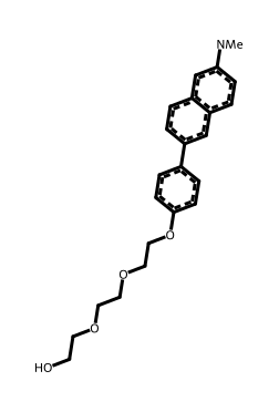 CNc1ccc2cc(-c3ccc(OCCOCCOCCO)cc3)ccc2c1